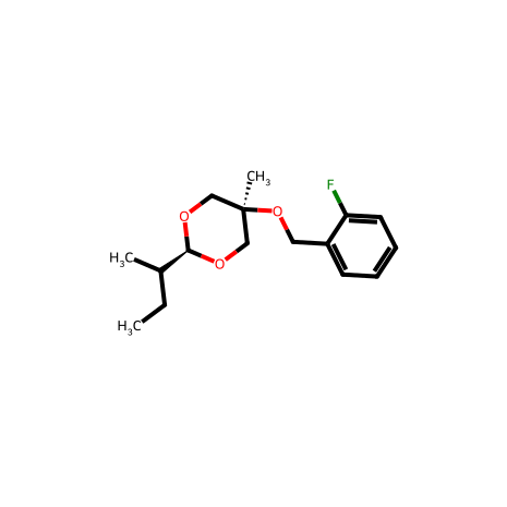 CCC(C)[C@H]1OC[C@@](C)(OCc2ccccc2F)CO1